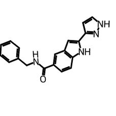 O=C(NCc1ccccc1)c1ccc2[nH]c(-c3cc[nH]n3)cc2c1